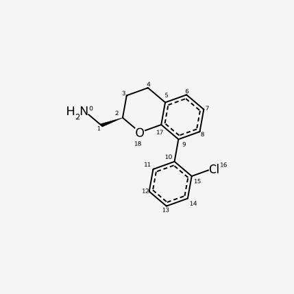 NC[C@H]1CCc2cccc(-c3ccccc3Cl)c2O1